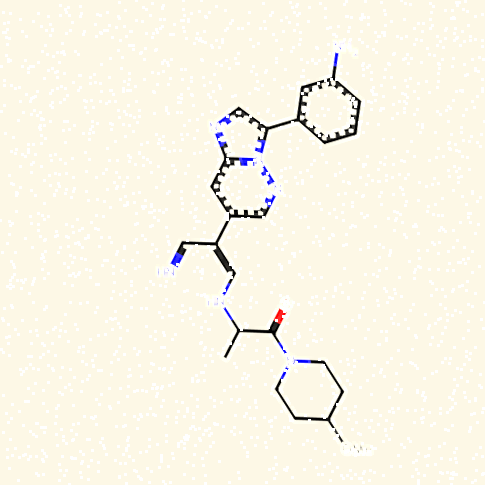 COC1CCN(C(=O)C(C)N/C=C(\C=N)c2cnn3c(-c4cccc(N)c4)cnc3c2)CC1